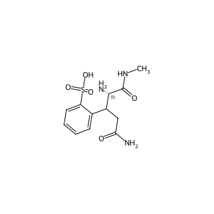 CNC(=O)[C@@H](N)C(CC(N)=O)c1ccccc1S(=O)(=O)O